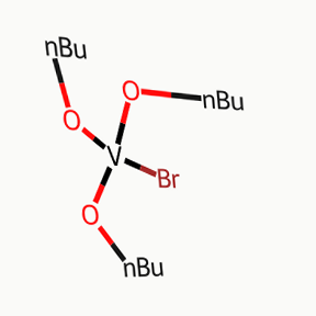 CCCC[O][V]([Br])([O]CCCC)[O]CCCC